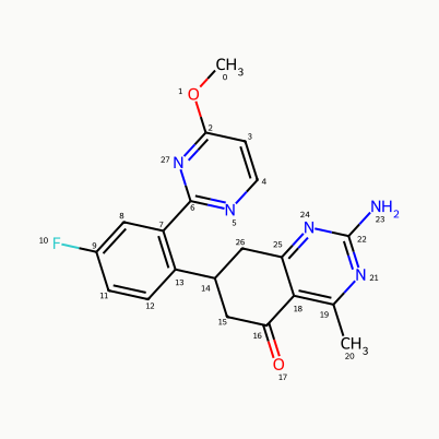 COc1ccnc(-c2cc(F)ccc2C2CC(=O)c3c(C)nc(N)nc3C2)n1